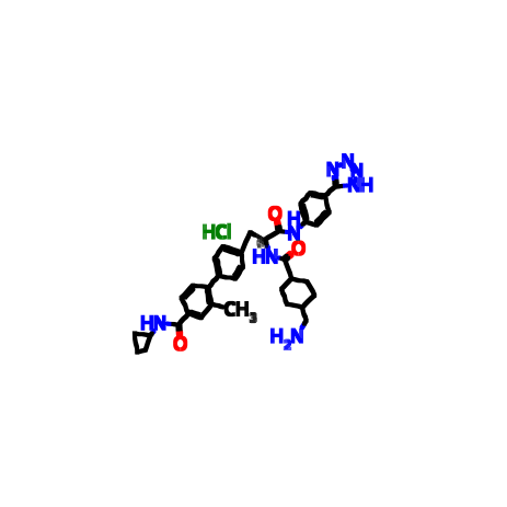 Cc1cc(C(=O)NC2CCC2)ccc1-c1ccc(C[C@H](NC(=O)C2CCC(CN)CC2)C(=O)Nc2ccc(-c3nnn[nH]3)cc2)cc1.Cl